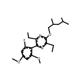 CCc1nc(-c2c(F)cc(OC)cc2OC)c(CC)nc1OCC(C)CC(C)C